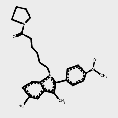 Cc1c(-c2ccc([S+](C)[O-])cc2)n(CCCCCC(=O)N2CCCC2)c2ccc(O)cc12